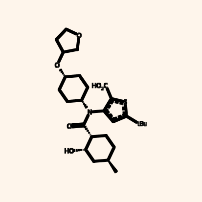 C[C@@H]1CC[C@@H](C(=O)N(c2cc(C(C)(C)C)sc2C(=O)O)[C@H]2CC[C@@H](OC3CCOC3)CC2)[C@@H](O)C1